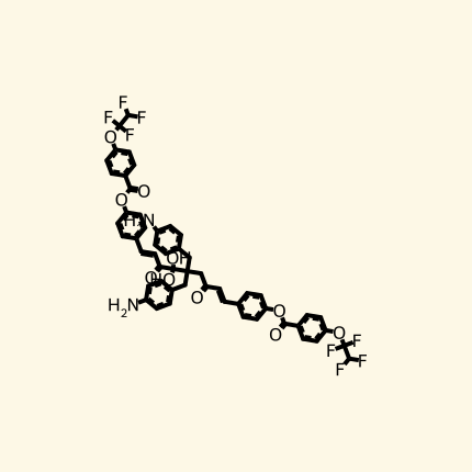 Nc1ccc(CC(CC(=O)C=Cc2ccc(OC(=O)c3ccc(OC(F)(F)C(F)F)cc3)cc2)(Cc2ccc(N)cc2)C(O)(O)C(=O)C=Cc2ccc(OC(=O)c3ccc(OC(F)(F)C(F)F)cc3)cc2)cc1